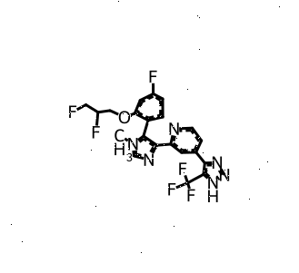 Cn1cnc(-c2cc(-c3nn[nH]c3C(F)(F)F)ccn2)c1-c1ccc(F)cc1OCC(F)CF